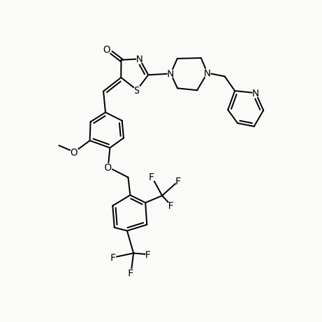 COc1cc(/C=C2\SC(N3CCN(Cc4ccccn4)CC3)=NC2=O)ccc1OCc1ccc(C(F)(F)F)cc1C(F)(F)F